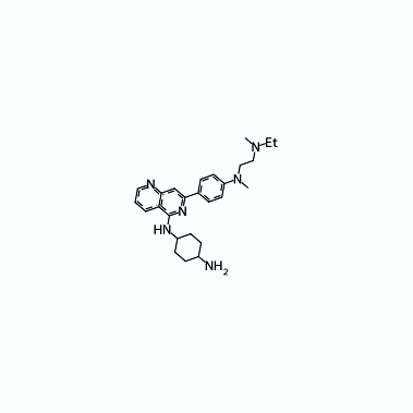 CCN(C)CCN(C)c1ccc(-c2cc3ncccc3c(NC3CCC(N)CC3)n2)cc1